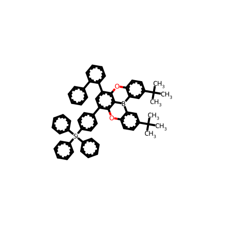 CC(C)(C)c1ccc2c(c1)B1c3cc(C(C)(C)C)ccc3Oc3c(-c4ccccc4-c4ccccc4)cc(-c4ccc([Si](c5ccccc5)(c5ccccc5)c5ccccc5)cc4)c(c31)O2